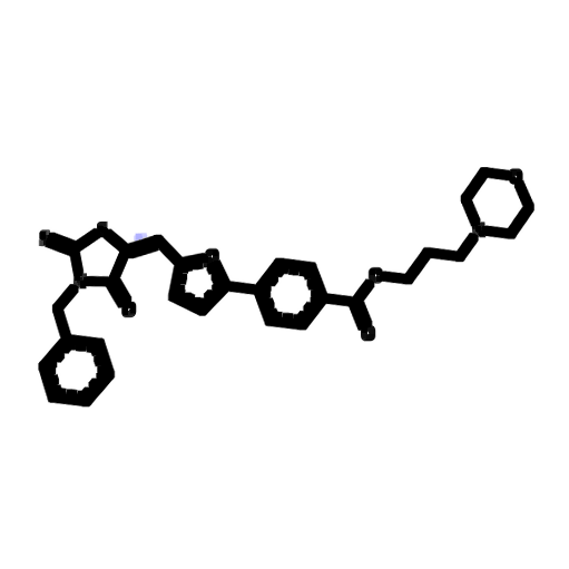 O=C(OCCCN1CCOCC1)c1ccc(-c2ccc(/C=C3/SC(=S)N(Cc4ccccc4)C3=O)o2)cc1